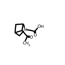 CC(=O)C1C2CC1N(C(=O)O)C2